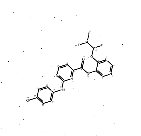 O=C(Nc1cncnc1OC(F)C(F)F)c1ccnc(Nc2ccc(Cl)cc2)n1